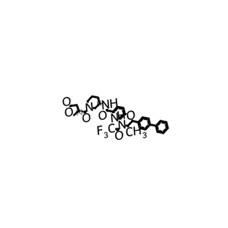 CC(NC(=O)C(F)(F)F)C(Oc1ccc(C(=O)N[C@H]2CCCN(C(=O)[C@H]3COC(=O)C3)C2)nc1)c1ccc(-c2ccccc2)cc1